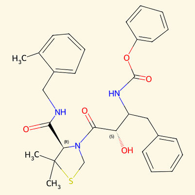 Cc1ccccc1CNC(=O)[C@H]1N(C(=O)[C@@H](O)C(Cc2ccccc2)NC(=O)Oc2ccccc2)CSC1(C)C